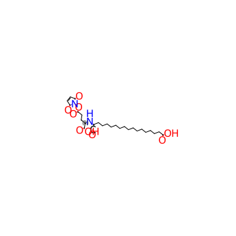 O=C=C(CCCCCCCCCCCCCCCC(=O)O)N[C@H](CCC(=O)ON1C(=O)C=CC1=O)C(=O)O